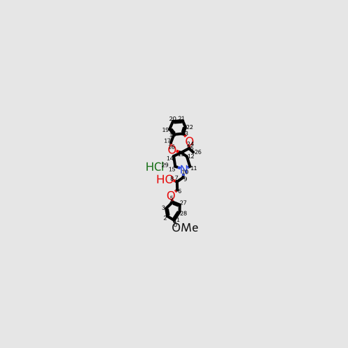 COc1ccc(OCC(O)CN2CCC3(CC2)OCc2ccccc2OC3C)cc1.Cl